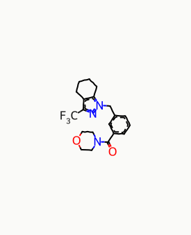 O=C(c1cccc(Cn2nc(C(F)(F)F)c3c2CCCC3)c1)N1CCOCC1